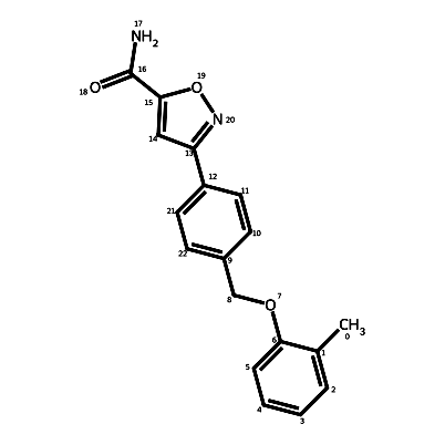 Cc1ccccc1OCc1ccc(-c2cc(C(N)=O)on2)cc1